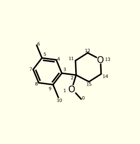 COC1(c2cc(C)ccc2C)CCOCC1